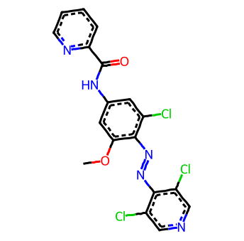 COc1cc(NC(=O)c2ccccn2)cc(Cl)c1/N=N/c1c(Cl)cncc1Cl